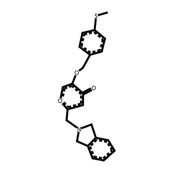 CSc1ccc(COc2coc(CN3Cc4ccccc4C3)cc2=O)cc1